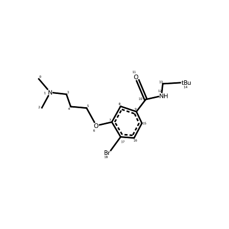 CN(C)CCCOc1cc(C(=O)NCC(C)(C)C)ccc1Br